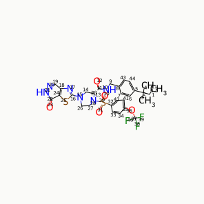 CCC(C)(C)c1ccc(CNC(=O)[C@H]2CN(c3nc4cn[nH]c(=O)c4s3)CCN2S(=O)(=O)c2ccc(OC(F)(F)F)cc2)cc1